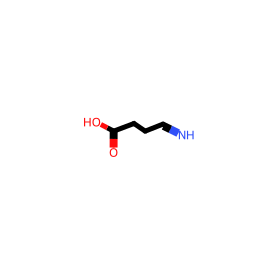 N=CCCC(=O)O